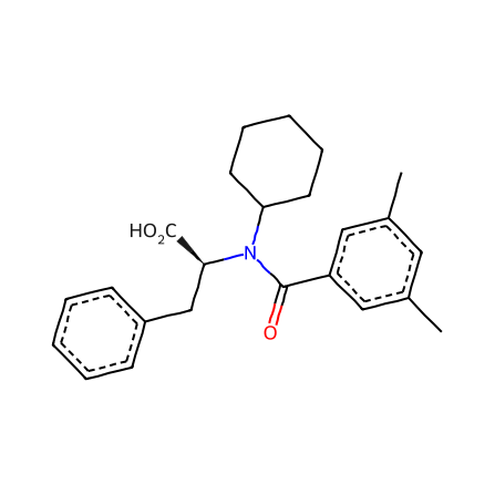 Cc1cc(C)cc(C(=O)N(C2CCCCC2)[C@@H](Cc2ccccc2)C(=O)O)c1